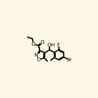 CCOC(=O)c1noc(C)c1C(O)c1c(C)cc(Br)cc1F